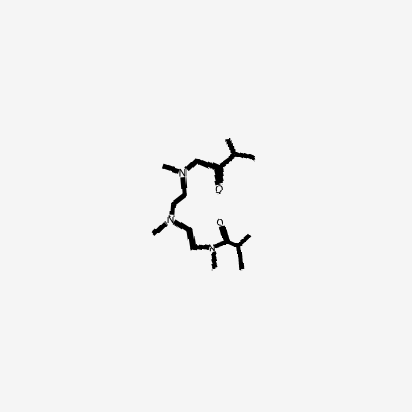 CC(C)C(=O)CN(C)CCN(C)CCN(C)C(=O)C(C)C